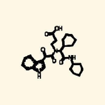 O=C(O)CCN(C(=O)C(=O)c1c[nH]c2ccccc12)C(C(=O)NC1CCCCC1)C1CCCCC1